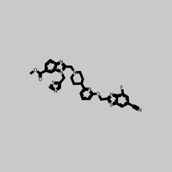 COC(=O)c1ccc2nc(CN3CCC(c4cccc(OCc5nc6c(F)cc(C#N)cc6s5)n4)CC3)n(Cc3cncs3)c2c1